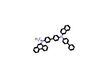 CN(c1ccc(-c2ccc(N(c3ccc(-c4ccccc4)cc3)c3ccc4ccccc4c3)cc2)cc1)c1cc2ccccc2c2ccccc12